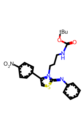 CC(C)(C)OC(=O)NCCCn1c(-c2ccc([N+](=O)[O-])cc2)csc1=Nc1ccccc1